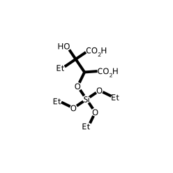 CCO[Si](OCC)(OCC)OC(C(=O)O)C(O)(CC)C(=O)O